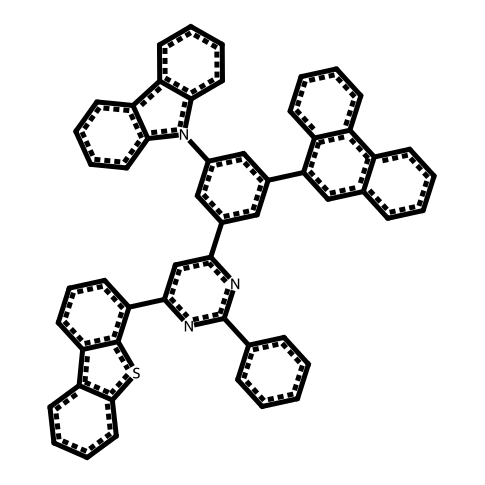 c1ccc(-c2nc(-c3cc(-c4cc5ccccc5c5ccccc45)cc(-n4c5ccccc5c5ccccc54)c3)cc(-c3cccc4c3sc3ccccc34)n2)cc1